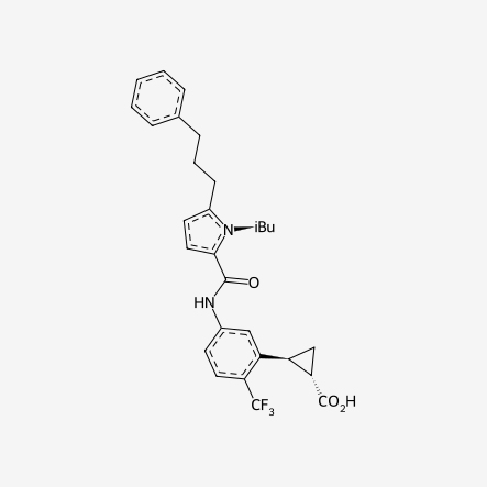 CC[C@H](C)n1c(CCCc2ccccc2)ccc1C(=O)Nc1ccc(C(F)(F)F)c([C@H]2C[C@@H]2C(=O)O)c1